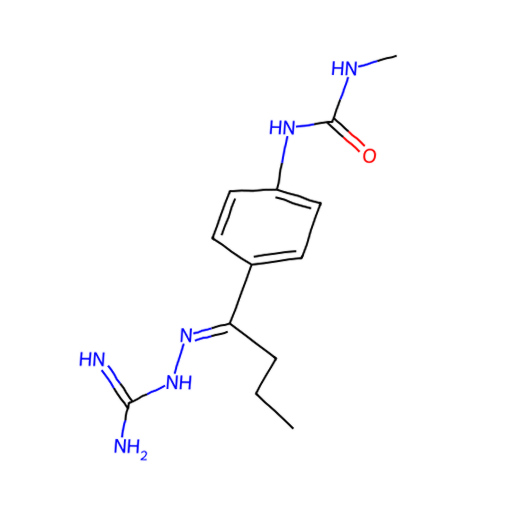 CCC/C(=N\NC(=N)N)c1ccc(NC(=O)NC)cc1